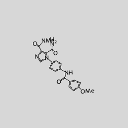 CNC(=O)c1ncn(-c2ccc(NC(=O)c3ccc(OC)cc3)cc2)c1C(N)=O